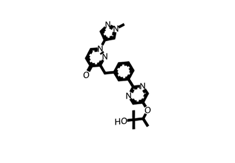 CC(Oc1cnc(-c2cccc(Cc3nn(-c4cnn(C)c4)ccc3=O)c2)nc1)C(C)(C)O